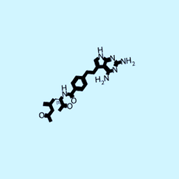 C=C(CC(C)=O)C[C@H](NC(=O)c1ccc(CCc2c[nH]c3nc(N)nc(N)c23)cc1)C(C)=O